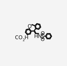 O=C(O)c1ccc2c(c1)/C(=C/CNS(=O)(=O)c1ccccc1)c1ccccc1CO2